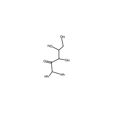 CCCC(CCC)C(=O)C(O)C(O)CO